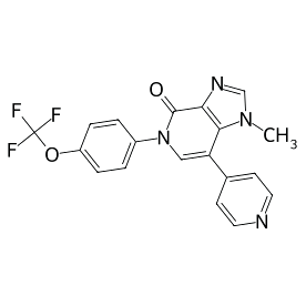 Cn1cnc2c(=O)n(-c3ccc(OC(F)(F)F)cc3)cc(-c3ccncc3)c21